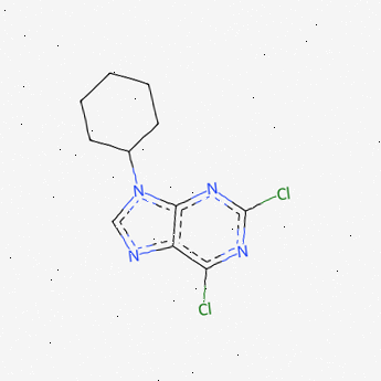 Clc1nc(Cl)c2ncn(C3CCCCC3)c2n1